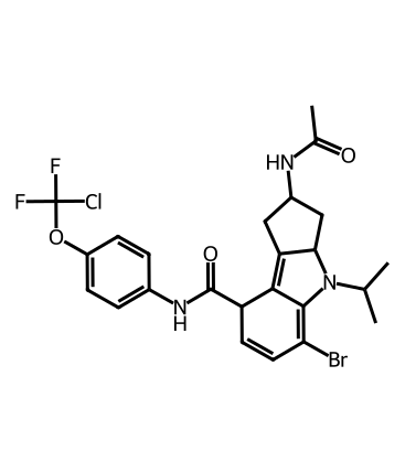 CC(=O)NC1CC2=C3C(=C(Br)C=CC3C(=O)Nc3ccc(OC(F)(F)Cl)cc3)N(C(C)C)C2C1